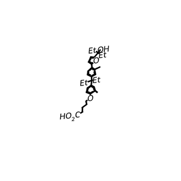 CCC(O)(CC)c1ccc(-c2ccc(C(CC)(CC)c3ccc(OCCCCC(=O)O)c(C)c3)cc2C)o1